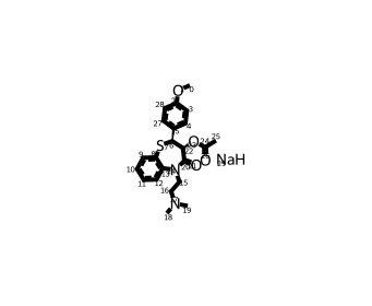 COc1ccc([C@@H]2Sc3ccccc3N(CCN(C)C)C(=O)[C@@H]2OC(C)=O)cc1.[NaH]